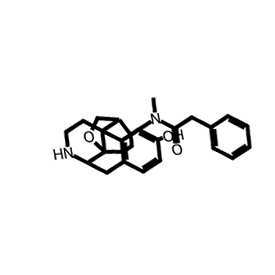 CN(C(=O)Cc1ccccc1)C1CCC23OCC1C21CCNC3Cc2ccc(O)cc21